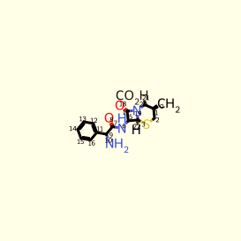 C=C1CS[C@H]2C(NC(=O)C(N)c3ccccc3)C(=O)N2C1C(=O)O